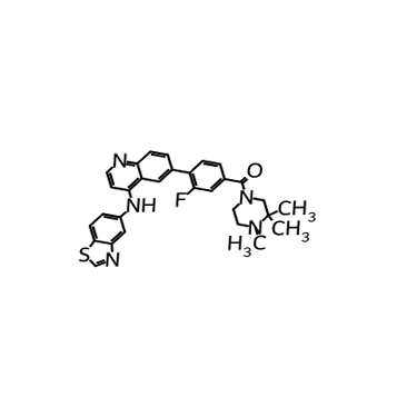 CN1CCN(C(=O)c2ccc(-c3ccc4nccc(Nc5ccc6scnc6c5)c4c3)c(F)c2)CC1(C)C